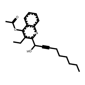 CCCCCCC#CC(O)c1nc2ccccc2c(OC(C)=O)c1CC